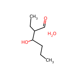 CCCC(O)C(C=O)CC.O